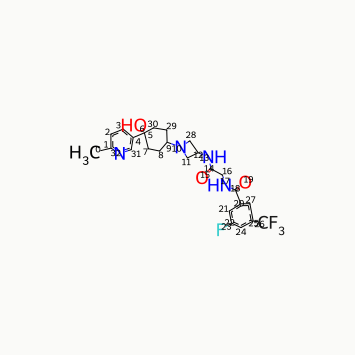 Cc1ccc(C2(O)CCC(N3CC(NC(=O)CNC(=O)c4cc(F)cc(C(F)(F)F)c4)C3)CC2)cn1